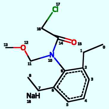 CCc1cccc(CC)c1N(COC)C(=O)CCl.[NaH]